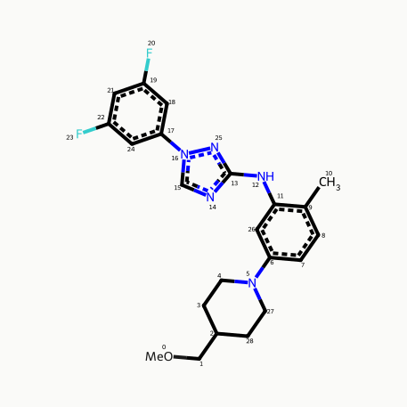 COCC1CCN(c2ccc(C)c(Nc3ncn(-c4cc(F)cc(F)c4)n3)c2)CC1